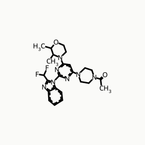 CC(=O)N1CCN(c2cc(N3CCOC(C)C3C)nc(-n3c(C(F)F)nc4ccccc43)n2)CC1